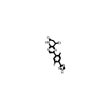 CCC1CC(=O)Nc2ncc(-c3cc(F)c(-c4nc[nH]n4)cc3C)nc21